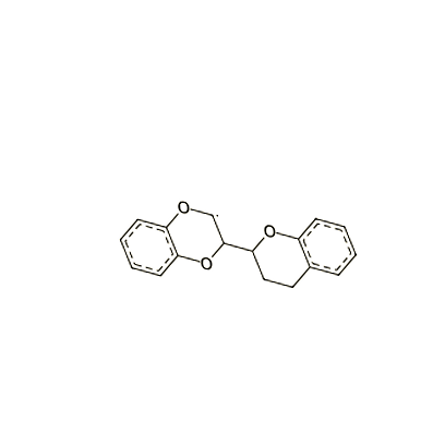 [CH]1Oc2ccccc2OC1C1CCc2ccccc2O1